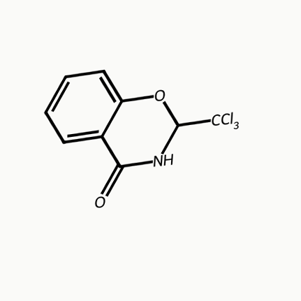 O=C1NC(C(Cl)(Cl)Cl)Oc2ccccc21